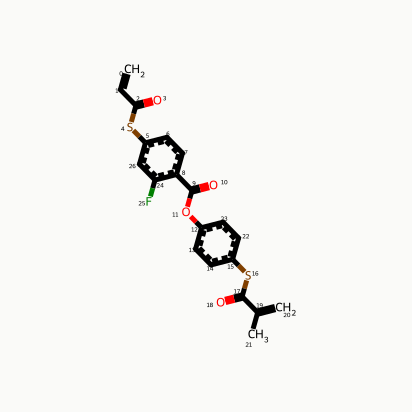 C=CC(=O)Sc1ccc(C(=O)Oc2ccc(SC(=O)C(=C)C)cc2)c(F)c1